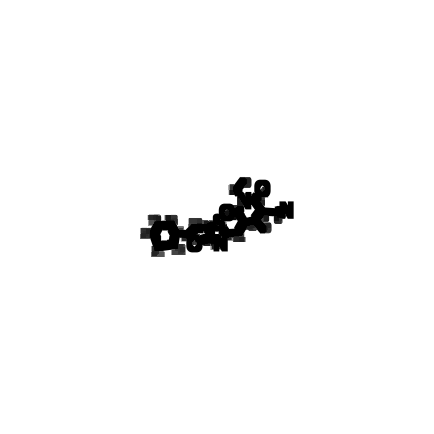 CCN1C(=O)C(C#N)=C(C)/C(=C/c2nc3oc(-c4ccccc4)cc3s2)C1=O